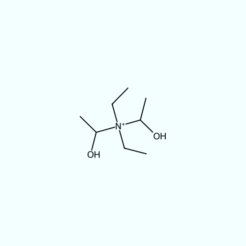 CC[N+](CC)(C(C)O)C(C)O